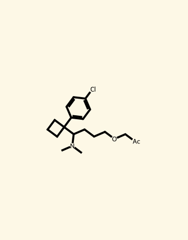 CC(=O)COCCCC(N(C)C)C1(c2ccc(Cl)cc2)CCC1